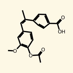 COc1cc(C=C(C)c2ccc(C(=O)O)cc2)ccc1OC(C)=O